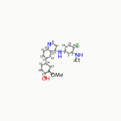 CCNc1cc(Nc2ccnc3ccc(-c4ccc(O)c(OC)c4)cc23)ccc1F